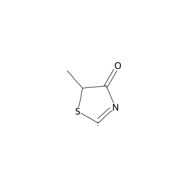 CC1S[C]=NC1=O